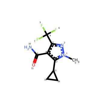 Cn1nc(C(F)(F)F)c(C(N)=O)c1C1CC1